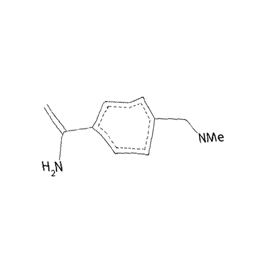 C=C(N)c1ccc(CNC)cc1